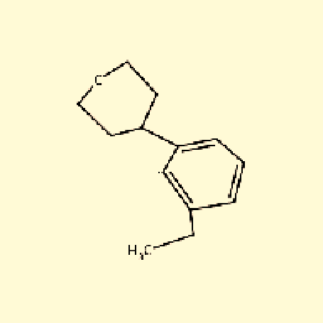 CCc1[c]c(C2CCCCC2)ccc1